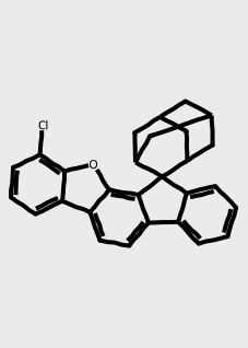 Clc1cccc2c1oc1c3c(ccc12)-c1ccccc1C31C2CC3CC(C2)CC1C3